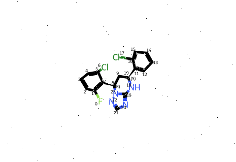 Fc1cccc(Cl)c1[C@H]1C[C@@H](c2ccccc2Cl)Nc2ncnn21